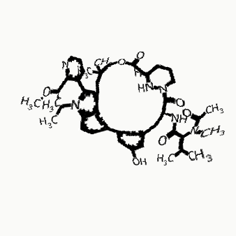 CCn1c(-c2cccnc2[C@H](C)OC)c2c3cc(ccc31)-c1cc(O)cc(c1)C[C@H](NC(=O)C(=C(C)C)N(C)C(C)=O)C(=O)N1CCC[C@H](N1)C(=O)OCC(C)(C)C2